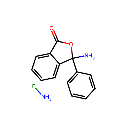 NC1(c2ccccc2)OC(=O)c2ccccc21.NF